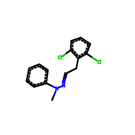 CN(/N=C/Cc1c(Cl)cccc1Cl)c1ccccc1